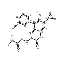 CN(C)C(=O)COC1C=C2C(=CN(C3CC3)C(C#N)=C2c2cccc(F)c2)CC1=O